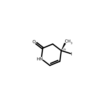 C[C@@]1(I)C=CNC(=O)C1